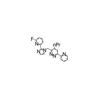 CCCc1cc(-c2ccccn2)nnc1Cn1ccnc1-c1cccc(F)n1